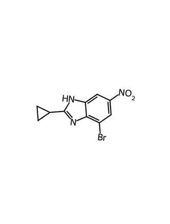 O=[N+]([O-])c1cc(Br)c2nc(C3CC3)[nH]c2c1